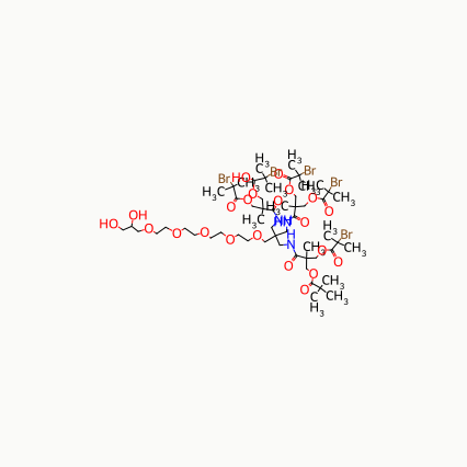 CC(C)(C)C(=O)OCC(C)(COC(=O)C(C)(C)Br)C(=O)NCC(CNC(=O)C(C)(COC(=O)C(C)(C)Br)COC(=O)C(C)(C)Br)(CNC(=O)C(C)(COC(=O)C(C)(C)Br)COC(O)C(C)(C)Br)COCCOCCOCCOCCOCC(O)CO